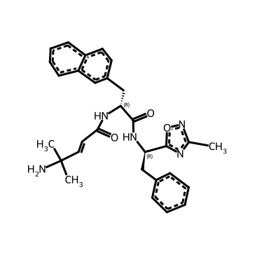 Cc1noc([C@@H](Cc2ccccc2)NC(=O)[C@@H](Cc2ccc3ccccc3c2)NC(=O)C=CC(C)(C)N)n1